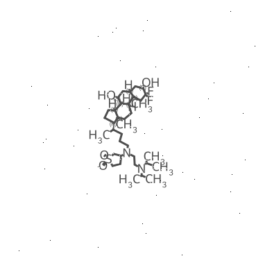 CC(CCCN(CCN(C(C)C)C(C)C)C1CCS(=O)(=O)C1)[C@H]1CC[C@H]2[C@@H]3[C@@H](O)C[C@@H]4C[C@@H](O)C(F)(F)C[C@]4(C)[C@H]3CC[C@]12C